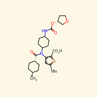 CC(C)(C)c1cc(N(C(=O)[C@H]2CC[C@H](C)CC2)C2CCC(NC(=O)O[C@@H]3CCOC3)CC2)c(C(=O)O)s1